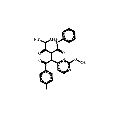 COc1nccc(C(C(=O)c2ccc(F)cc2)C(C(=O)Nc2ccccc2)C(=O)C(C)C)n1